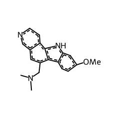 COc1ccc2c(c1)[nH]c1c3ccncc3cc(CN(C)C)c21